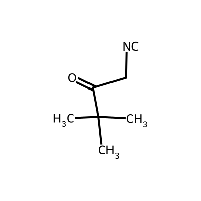 [C-]#[N+]CC(=O)C(C)(C)C